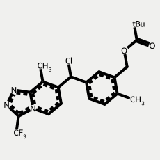 Cc1ccc(C(Cl)c2ccn3c(C(F)(F)F)nnc3c2C)cc1COC(=O)C(C)(C)C